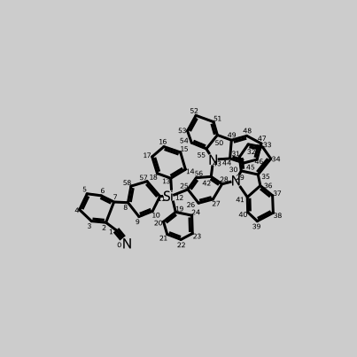 N#Cc1ccccc1-c1ccc([Si](c2ccccc2)(c2ccccc2)c2ccc(-n3c4ccccc4c4ccccc43)c(-n3c4ccccc4c4ccccc43)c2)cc1